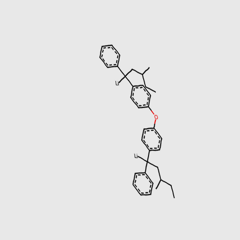 [Li][C](CC(C)CC)(c1ccccc1)c1ccc(Oc2ccc([C]([Li])(CC(C)CC)c3ccccc3)cc2)cc1